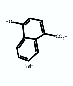 O=C(O)c1ccc(O)c2ccccc12.[NaH]